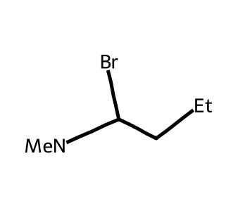 CCCC(Br)NC